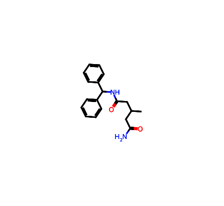 CC(CC(N)=O)CC(=O)NC(c1ccccc1)c1ccccc1